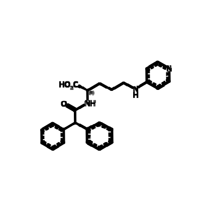 O=C(N[C@H](CCCNc1ccncc1)C(=O)O)C(c1ccccc1)c1ccccc1